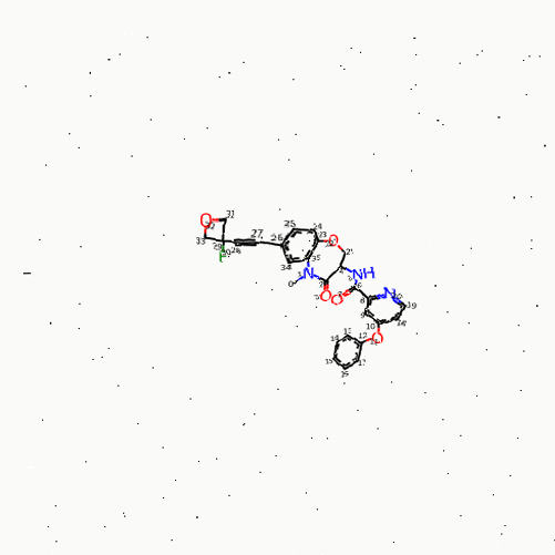 CN1C(=O)C(NC(=O)c2cc(Oc3ccccc3)ccn2)COc2ccc(C#CC3(F)COC3)cc21